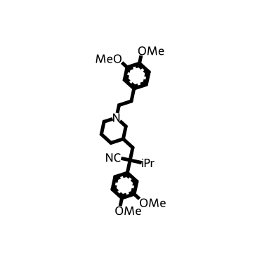 COc1ccc(CCN2CCCC(CC(C#N)(c3ccc(OC)c(OC)c3)C(C)C)C2)cc1OC